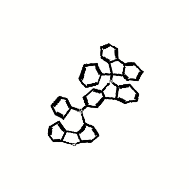 c1ccc(N(c2ccc3c(c2)c2ccccc2n3C2(c3ccccc3)c3ccccc3-c3ccccc32)c2cccc3oc4ccccc4c23)cc1